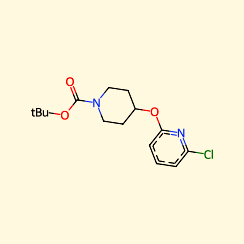 CC(C)(C)OC(=O)N1CCC(Oc2cccc(Cl)n2)CC1